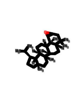 CC(C)[C@@H]1CC[C@]2(C)CC[C@]3(C)[C@H](CC[C@@H]4[C@@]5(C)C6OC6CC(C)(C)[C@@H]5CC[C@]43C)[C@@H]12